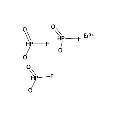 O=[PH]([O-])F.O=[PH]([O-])F.O=[PH]([O-])F.[Er+3]